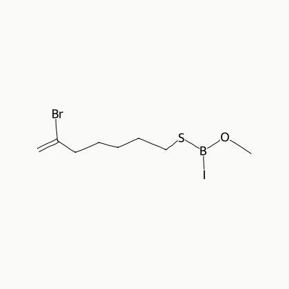 C=C(Br)CCCCCSB(I)OC